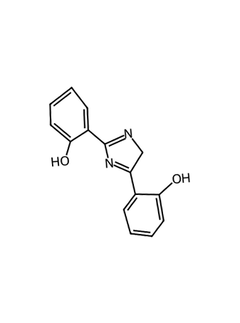 Oc1ccccc1C1=NC(c2ccccc2O)=NC1